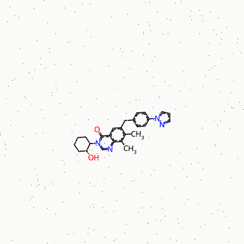 Cc1c(Cc2ccc(-n3cccn3)cc2)cc2c(=O)n(C3CCCCC3O)cnc2c1C